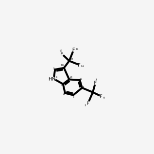 FC(F)(F)c1ccc2[nH]cc(C(F)(F)F)c2c1